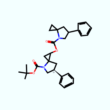 CC(C)(C)OC(=O)N1C[C@H](c2ccccc2)CC12CC2OC(=O)N1CC(c2ccccc2)CC12CC2